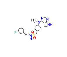 CN(c1ncnc2[nH]ccc12)C1CCC(CS(=O)(=O)NCCc2cccc(F)c2)CC1